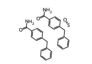 NC(=O)c1ccc(Cc2ccccc2)cc1.NC(=O)c1ccc(Cc2ccccc2)cc1.O=S